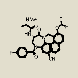 CN[C@@H](C)C(=O)N[C@H]1CN(C(=O)c2ccc(F)cc2)c2cc(C#N)ccc2N(Cc2c(OC(F)F)ccc3ccccc23)C1=O